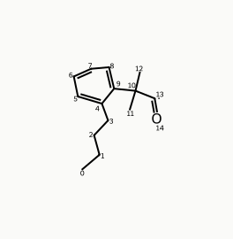 CCCCc1ccccc1C(C)(C)[C]=O